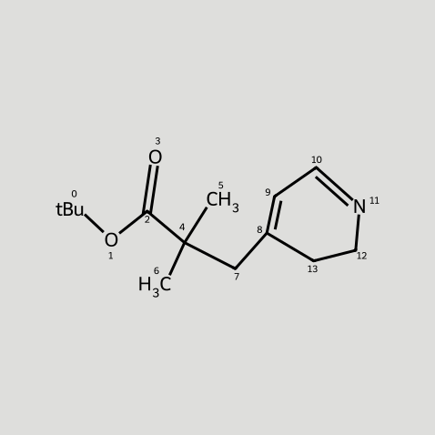 CC(C)(C)OC(=O)C(C)(C)CC1=CC=NCC1